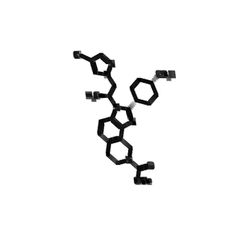 COC(=O)N1CCc2ccc3c(nc([C@H]4CC[C@@H](C(=O)O)CC4)n3[C@@H](C)Cn3cc(Cl)cn3)c2C1